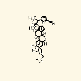 CCOC[C@@]1(O)CC[C@@]2(CC)[C@@H](CC[C@H]3[C@@H]4CC[C@H](C(=O)C(C)n5ccc(C#N)n5)[C@@]4(C)CC[C@@H]32)C1